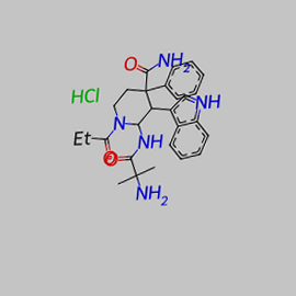 CCC(=O)N1CCC(C(N)=O)(c2ccccc2)C(c2c[nH]c3ccccc23)C1NC(=O)C(C)(C)N.Cl